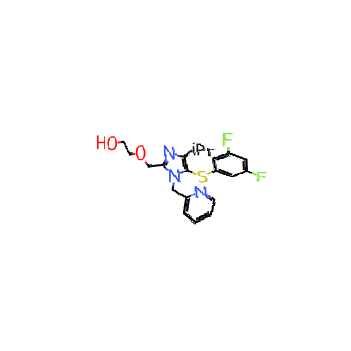 CC(C)c1nc(COCCO)n(Cc2ccccn2)c1Sc1cc(F)cc(F)c1